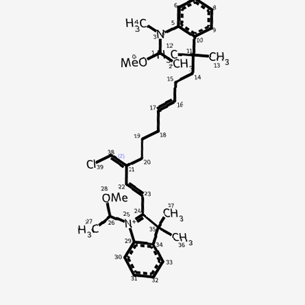 COC(C)N(C)c1ccccc1C(C)(C)CCC=CCCC/C(C=CC1=[N+](C(C)OC)c2ccccc2C1(C)C)=C/Cl